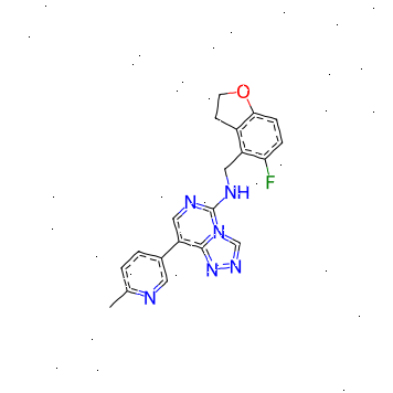 Cc1ccc(-c2cnc(NCc3c(F)ccc4c3CCO4)n3cnnc23)cn1